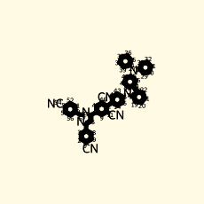 N#Cc1ccc(-c2cc(-c3cc(C#N)c(-c4ccc(-n5c6ccccc6c6cc(N(c7ccccc7)c7ccccc7)ccc65)cc4)c(C#N)c3)nc(-c3ccc(C#N)cc3)n2)cc1